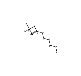 CCCCCCC1=NC(C)(C)C1